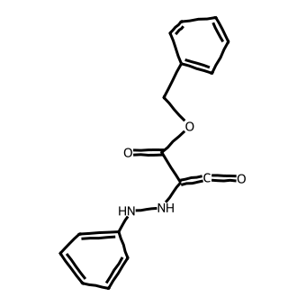 O=C=C(NNc1ccccc1)C(=O)OCc1ccccc1